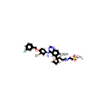 COc1cc2ncnc(Nc3ccc(OCc4cccc(F)c4)c(Br)c3)c2cc1C1(CCCNCCS(C)(=O)=O)CC=CO1